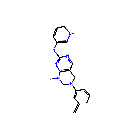 C=C/C=C(\C=C/C)N1Cc2cnc(NC3=CNCC=C3)nc2N(C)C1